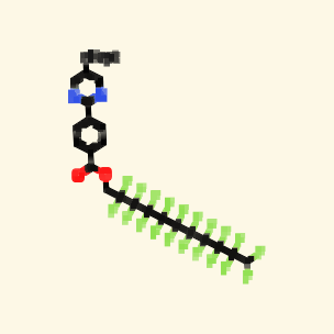 CCCCCCCc1cnc(-c2ccc(C(=O)OCC(F)(F)C(F)(F)C(F)(F)C(F)(F)C(F)(F)C(F)(F)C(F)(F)C(F)(F)C(F)(F)C(F)F)cc2)nc1